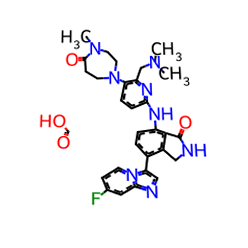 CN(C)Cc1nc(Nc2ccc(-c3cnc4cc(F)ccn34)c3c2C(=O)NC3)ccc1N1CCC(=O)N(C)CC1.O=CO